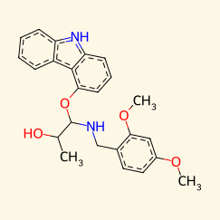 COc1ccc(CNC(Oc2cccc3[nH]c4ccccc4c23)C(C)O)c(OC)c1